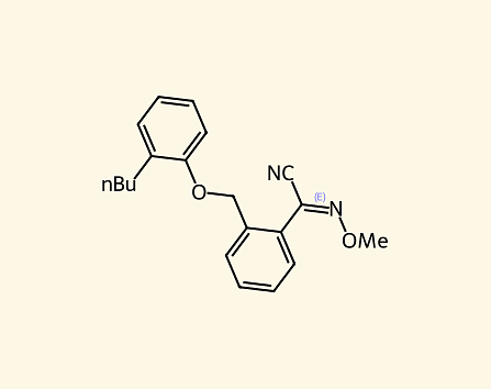 CCCCc1ccccc1OCc1ccccc1/C(C#N)=N\OC